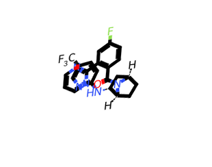 O=C(c1ccc(F)cc1-c1ncccn1)N1[C@@H]2CC[C@H]1[C@H](Nc1ccc(C(F)(F)F)cn1)C2